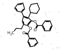 CCCc1cc(-c2ccccc2)c(C2CCCCC2)c(OC(=O)c2ccccc2)c1OC(=O)c1ccccc1